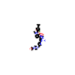 O=C1c2c(F)cc(C3CC3)cc2OCCN1c1cccc(-c2ncnc3[nH]c(-c4ccc(CN5CCN(C6COC6)CC5)cn4)cc23)c1CO